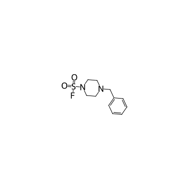 O=S(=O)(F)N1CCN(Cc2ccccc2)CC1